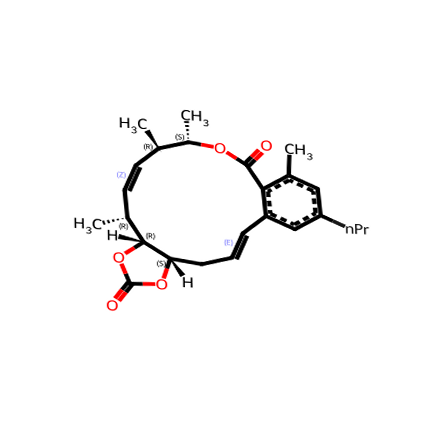 CCCc1cc(C)c2c(c1)/C=C/C[C@@H]1OC(=O)O[C@@H]1[C@H](C)/C=C\[C@@H](C)[C@H](C)OC2=O